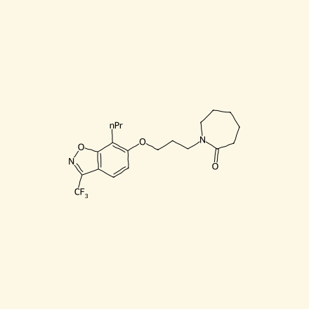 CCCc1c(OCCCN2CCCCCC2=O)ccc2c(C(F)(F)F)noc12